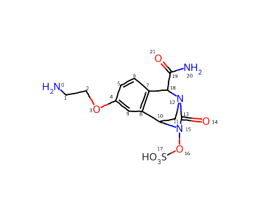 NCCOc1ccc2c(c1)C1CN(C(=O)N1OS(=O)(=O)O)C2C(N)=O